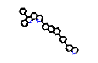 c1ccc(-c2c3ccccc3nc3c2ccc2ccc(-c4ccc5cc6cc(-c7ccc(-c8ccc9ncccc9c8)cc7)ccc6cc5c4)nc23)cc1